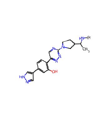 CC(C)NC(C)C1CCN(c2ncc(-c3ccc(-c4cn[nH]c4)cc3O)nn2)C1